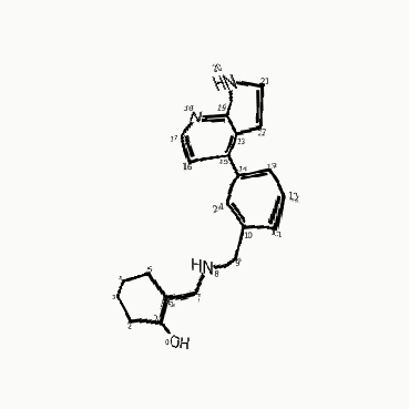 OC1CCCCC1CNCc1cccc(-c2ccnc3[nH]ccc23)c1